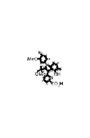 COCC(C)(C)c1c(-c2cccc(C(=O)O)n2)c2c(O)c(F)ccc2n1-c1ccc(F)c(OC)c1